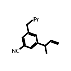 C=C[C](C)c1cc(C#N)cc(CC(C)C)c1